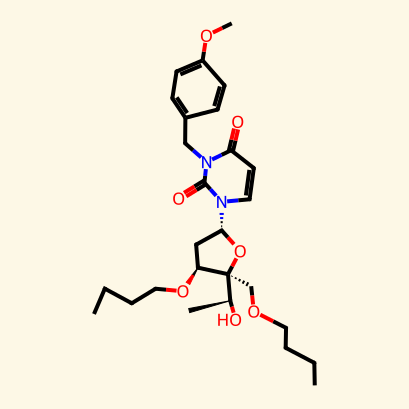 CCCCOC[C@@]1([C@H](C)O)O[C@@H](n2ccc(=O)n(Cc3ccc(OC)cc3)c2=O)C[C@@H]1OCCCC